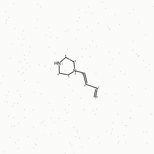 [CH]=CC=CN1CCNCC1